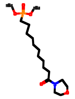 CCCCOP(=O)(CCCCCCCCCCC(=O)N1CCOCC1)OCCCC